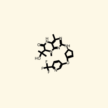 Cc1nc(N[C@H]2CC=C(Oc3ccc(C(F)(F)F)nc3)C2)nc2c1NC(=O)C(C(C)(C)O)N2C